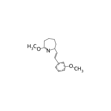 COC1=NC(/C=C/c2cccc(OC)c2)CCCC1